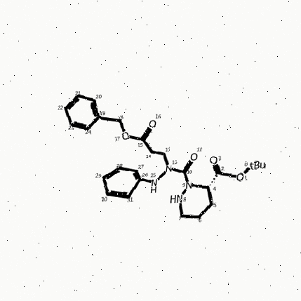 CC(C)(C)OC(=O)[C@@H]1CCCNN1C(=O)N(CCC(=O)OCc1ccccc1)Nc1ccccc1